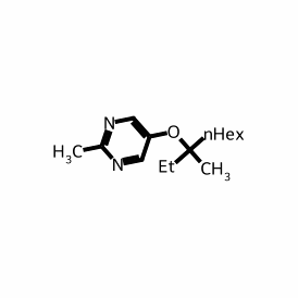 CCCCCCC(C)(CC)Oc1cnc(C)nc1